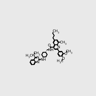 CCCCc1cc(C)c2nc(-c3ccc(OC)c(OC)c3)cc(C(=O)NC[C@H]3CC[C@@H](Nc4nc(N(C)C)c5ccccc5n4)CC3)c2c1